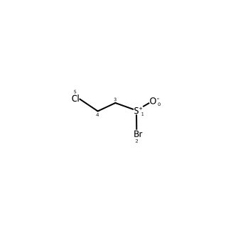 [O-][S+](Br)CCCl